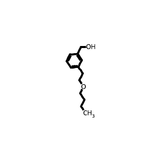 CCCCOCCc1cccc(CO)c1